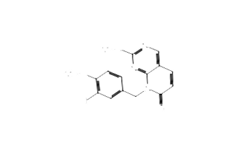 COc1ccc(Cn2c(=O)ccc3cnc(SC)nc32)cc1Cl